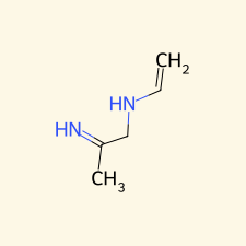 C=CNCC(C)=N